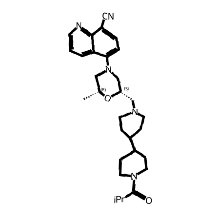 CC(C)C(=O)N1CCC(C2CCN(C[C@H]3CN(c4ccc(C#N)c5ncccc45)C[C@@H](C)O3)CC2)CC1